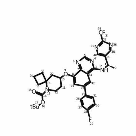 C[C@@H](Nc1ncnc2c(OC3CCN(C(=O)OC(C)(C)C)C4(CCC4)C3)cc(-c3ccc(F)cc3)cc12)c1cnc(C(F)(F)F)nc1